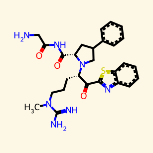 CN(CCC[C@@H](C(=O)c1nc2ccccc2s1)N1CC(c2ccccc2)C[C@H]1C(=O)NC(=O)CN)C(=N)N